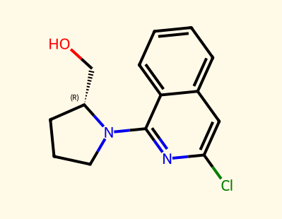 OC[C@H]1CCCN1c1nc(Cl)cc2ccccc12